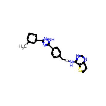 Cc1cccc(-c2n[nH]c(-c3ccc(CCNc4ncnc5ccsc45)cc3)n2)c1